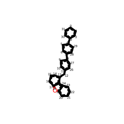 c1ccc(-c2ccc(-c3ccc(Cc4cccc5oc6ccccc6c45)cc3)cc2)cc1